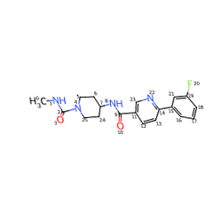 CNC(=O)N1CCC(NC(=O)c2ccc(-c3cccc(F)c3)nc2)CC1